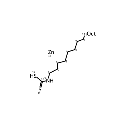 CCCCCCCCCCCCCCCCNC(=S)S.[Zn]